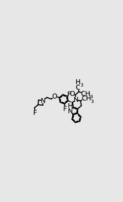 CC(C)C(=O)N1C(C)Cc2c([nH]c3ccccc23)[C@H]1c1c(F)cc(OCCN2CC(CF)C2)cc1F